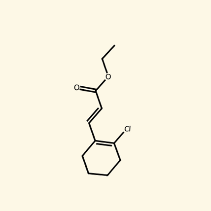 CCOC(=O)/C=C/C1=C(Cl)CCCC1